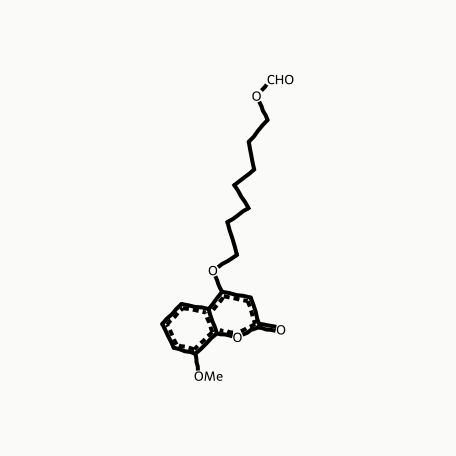 COc1cccc2c(OCCCCCCCOC=O)cc(=O)oc12